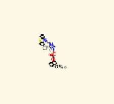 COc1ccc(OCC(=O)OCCN2CCN(CCCN3c4ccccc4Sc4ccc(C(F)(F)F)cc43)CC2)c2ccccc12